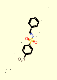 O=[N+]([O-])c1ccc(S(=O)(=O)/N=C/c2ccccc2)cc1